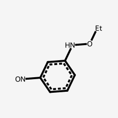 CCONc1cccc(N=O)c1